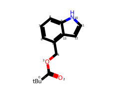 CC(C)(C)C(=O)OCc1cccc2[nH]ccc12